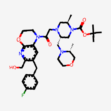 C[C@@H]1COCCN1C[C@H]1CN(C(=O)OC(C)(C)C)[C@H](C)CN1CC(=O)N1CCOc2nc(CO)c(Cc3ccc(F)cc3)cc21